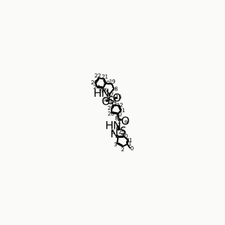 Cc1ccc2nc(NC(=O)c3ccc(S(=O)(=O)C4CCc5ccccc5N4)cc3)sc2c1